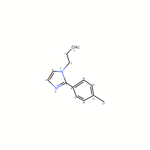 CC(=O)OCCn1ccnc1-c1ccc(C)cc1